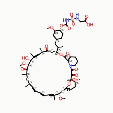 CO[C@H]1C[C@@H]2CC[C@@H](C)[C@@](O)(O2)C(=O)C(=O)N2CCCC[C@H]2C(=O)O[C@H]([C@H](C)C[C@@H]2CC[C@@H](OC(=O)NS(=O)(=O)NCC(=O)O)[C@H](OC)C2)CC(=O)[C@H](C)/C=C(\C)[C@@H](O)[C@@H](OC)C(=O)[C@H](C)C[C@H](C)/C=C/C=C/C=C/1C